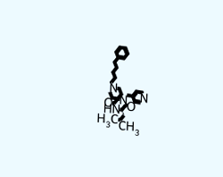 CC(C)C[C@@H]1NC(=O)C2(CCN(CCCCCc3ccccc3)CC2)N(Cc2ccncc2)C1=O